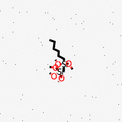 CCCCCC[Si](C[Si](OC)(OC)OC)(OC)OC